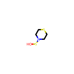 OSN1CCSCC1